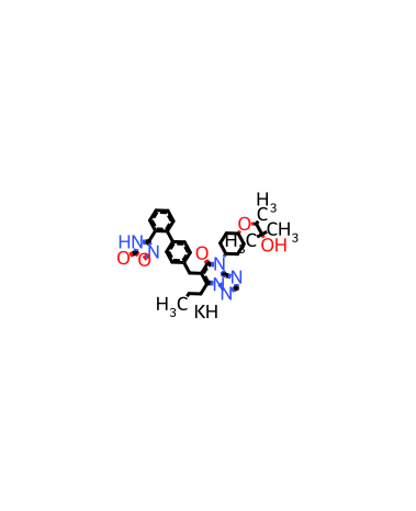 CCCc1c(Cc2ccc(-c3ccccc3-c3noc(=O)[nH]3)cc2)c(=O)n(C2CCC(OC(C)C(C)(C)O)CC2)c2ncnn12.[KH]